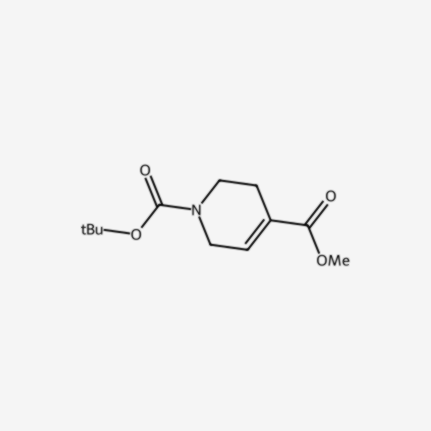 COC(=O)C1=CCN(C(=O)OC(C)(C)C)CC1